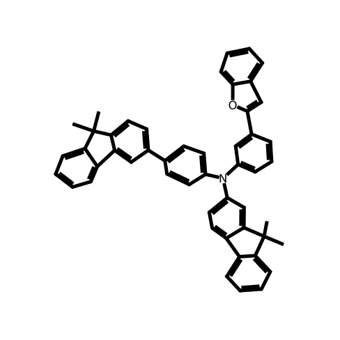 CC1(C)c2ccccc2-c2cc(-c3ccc(N(c4cccc(-c5cc6ccccc6o5)c4)c4ccc5c(c4)C(C)(C)c4ccccc4-5)cc3)ccc21